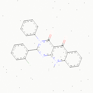 Cn1c2ccccc2c(=O)c2c(=O)n(-c3ccccc3)c(-c3ccccc3F)nc21